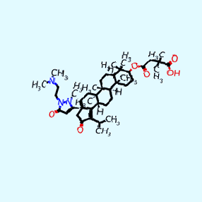 CC(C)C1=C2[C@H]3CC[C@@H]4[C@@]5(C)CC[C@H](OC(=O)CC(C)(C)C(=O)O)C(C)(C)[C@@H]5CC[C@@]4(C)[C@]3(C)CC[C@@]2(c2cc(=O)n(CCN(C)C)n2C)CC1=O